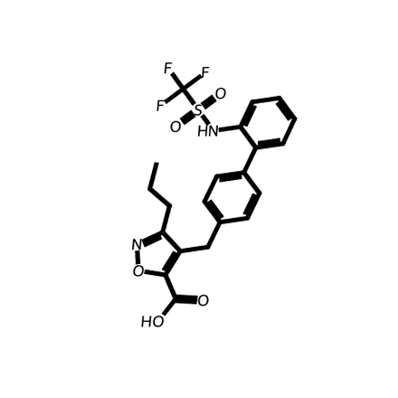 CCCc1noc(C(=O)O)c1Cc1ccc(-c2ccccc2NS(=O)(=O)C(F)(F)F)cc1